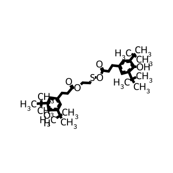 CC(C)(C)c1cc(CCC(=O)OCCSOC(=O)CCc2cc(C(C)(C)C)c(O)c(C(C)(C)C)c2)cc(C(C)(C)C)c1O